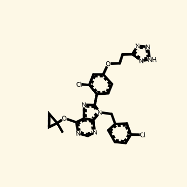 CC1(Oc2ncnc3c2nc(-c2ccc(OCCc4nn[nH]n4)cc2Cl)n3Cc2cccc(Cl)c2)CC1